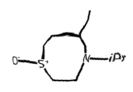 CC(C)N1CC[S+]([O-])CC1C